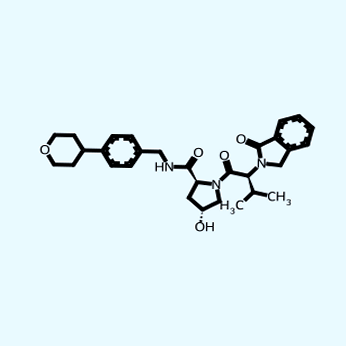 CC(C)[C@@H](C(=O)N1C[C@H](O)C[C@H]1C(=O)NCc1ccc(C2CCOCC2)cc1)N1Cc2ccccc2C1=O